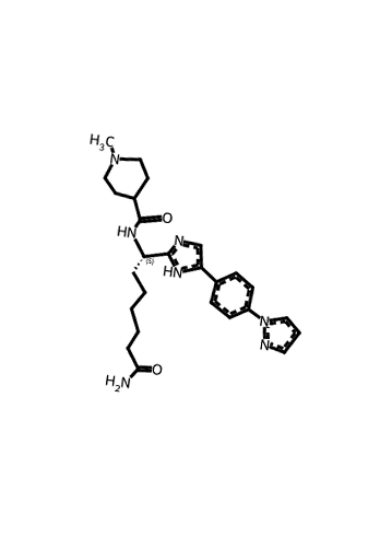 CN1CCC(C(=O)N[C@@H](CCCCCC(N)=O)c2ncc(-c3ccc(-n4cccn4)cc3)[nH]2)CC1